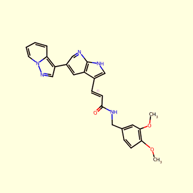 COc1ccc(CNC(=O)/C=C/c2c[nH]c3ncc(-c4cnn5ccccc45)cc23)cc1OC